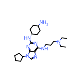 CCN(CC)CCCNc1nc(N[C@H]2CC[C@H](N)CC2)nc2c1ncn2C1CCCC1